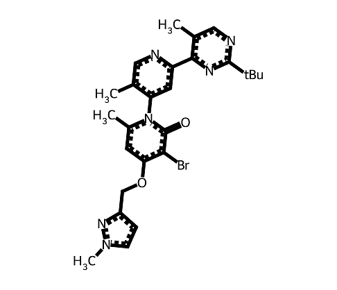 Cc1cnc(-c2nc(C(C)(C)C)ncc2C)cc1-n1c(C)cc(OCc2ccn(C)n2)c(Br)c1=O